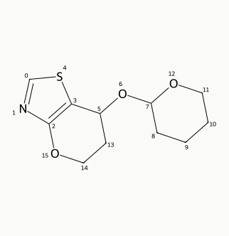 c1nc2c(s1)C(OC1CCCCO1)CCO2